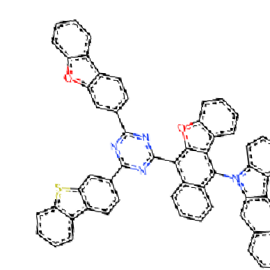 c1ccc2cc3c(cc2c1)c1ccccc1n3-c1c2ccccc2c(-c2nc(-c3ccc4c(c3)oc3ccccc34)nc(-c3ccc4c(c3)sc3ccccc34)n2)c2oc3ccccc3c12